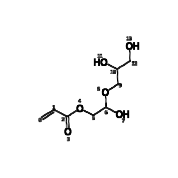 C=CC(=O)OCC(O)OCC(O)CO